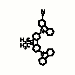 C[Si]1(C)c2ccc(-n3c4ccccc4c4ccccc43)cc2-c2cc(-n3c4ccccc4c4cc(C#N)ccc43)ccc21